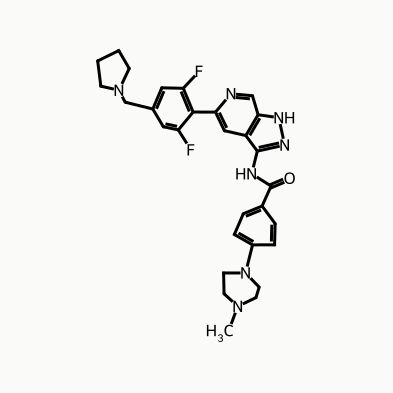 CN1CCN(c2ccc(C(=O)Nc3n[nH]c4cnc(-c5c(F)cc(CN6CCCC6)cc5F)cc34)cc2)CC1